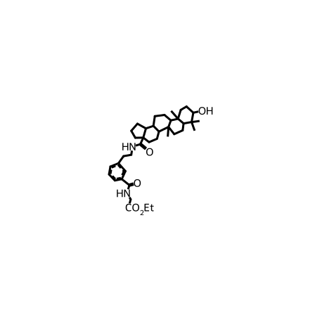 CCOC(=O)CNC(=O)c1cccc(CCNC(=O)C23CCCC2C2CCC4C(C)(CCC5C(C)(C)C(O)CCC54C)C2CC3)c1